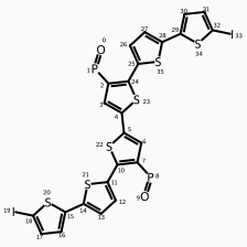 O=Pc1cc(-c2cc(P=O)c(-c3ccc(-c4ccc(I)s4)s3)s2)sc1-c1ccc(-c2ccc(I)s2)s1